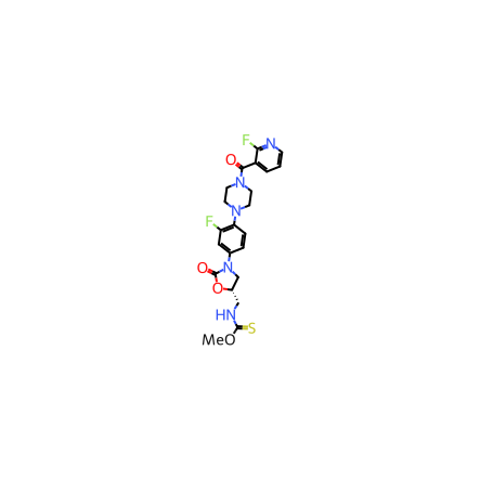 COC(=S)NC[C@H]1CN(c2ccc(N3CCN(C(=O)c4cccnc4F)CC3)c(F)c2)C(=O)O1